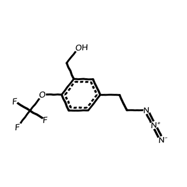 [N-]=[N+]=NCCc1ccc(OC(F)(F)F)c(CO)c1